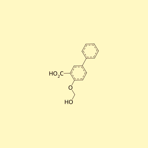 O=C(O)c1cc(-c2ccccc2)ccc1OCO